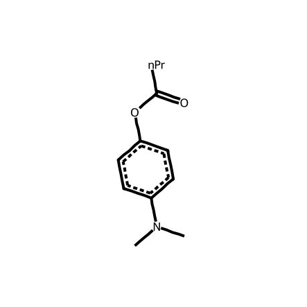 CCCC(=O)Oc1ccc(N(C)C)cc1